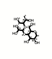 C[C@@H](O)C(CO)OC(OC1C(CO)OC[C@@H](O)C1O)C(O)O